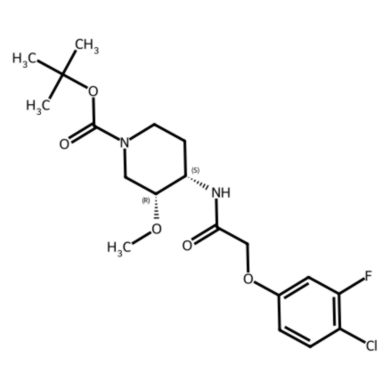 CO[C@@H]1CN(C(=O)OC(C)(C)C)CC[C@@H]1NC(=O)COc1ccc(Cl)c(F)c1